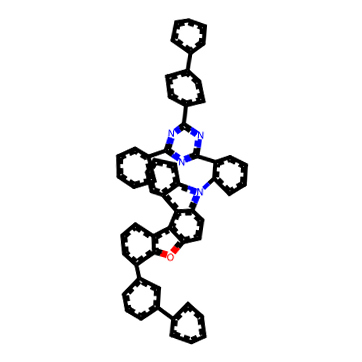 c1ccc(-c2ccc(-c3nc(-c4ccccc4)nc(-c4ccccc4-n4c5ccccc5c5c6c(ccc54)oc4c(-c5cccc(-c7ccccc7)c5)cccc46)n3)cc2)cc1